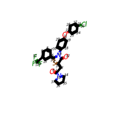 O=C(CC1SC(c2cccc(C(F)(F)F)c2)N(c2ccc(Oc3ccc(Cl)cc3)cc2)C1=O)N1CCCC1